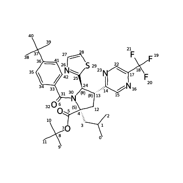 CC(C)C[C@@]1(C(=O)OC(C)(C)C)C[C@@H](c2cnc(C(F)(F)F)cn2)[C@H](c2nccs2)N1C(=O)c1ccc(C(C)(C)C)cc1